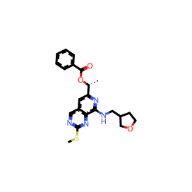 CSc1ncc2cc([C@@H](C)OC(=O)c3ccccc3)nc(NCC3CCOC3)c2n1